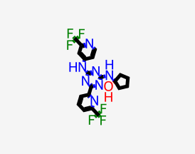 OC1(Nc2nc(Nc3ccnc(C(F)(F)F)c3)nc(-c3cccc(C(F)(F)F)n3)n2)CCCC1